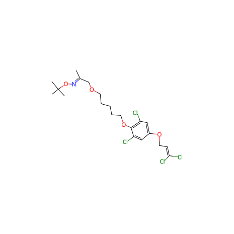 CC(COCCCCCOc1c(Cl)cc(OCC=C(Cl)Cl)cc1Cl)=NOC(C)(C)C